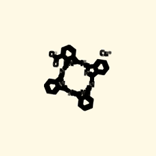 O=C([O-])c1cccc2c3nc4nc(nc5[nH]c(nc6nc(nc([nH]3)c12)-c1ccccc1-6)c1ccccc51)-c1ccccc1-4.[Cu+]